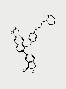 COc1ccc2c(Oc3ccc(OCCC4CCCCN4)cc3)c(-c3ccc4c(c3)C(=O)NC4)ccc2c1